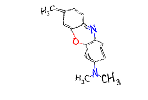 C=c1ccc2c(c1)Oc1cc(N(C)C)ccc1N=2